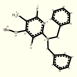 Cc1c(F)nc(N(Cc2ccccc2)Cc2ccccc2)c(F)c1OC(C)(C)C